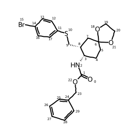 O=C(N[C@H]1CCC2(C[C@H]1CSc1ccc(Br)cc1)OCCO2)OCc1ccccc1